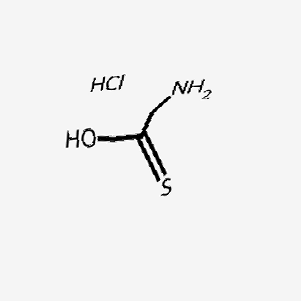 Cl.NC(O)=S